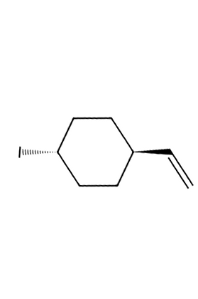 C=C[C@H]1CC[C@H](I)CC1